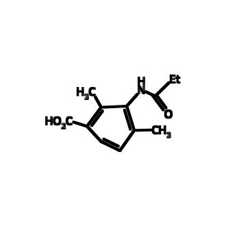 CCC(=O)Nc1c(C)ccc(C(=O)O)c1C